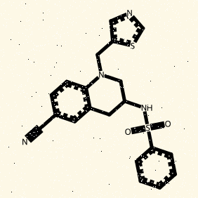 N#Cc1ccc2c(c1)CC(NS(=O)(=O)c1ccccc1)CN2Cc1cncs1